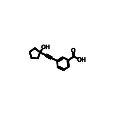 O=C(O)c1cccc(C#CC2(O)CCCC2)c1